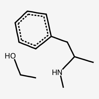 CCO.CNC(C)Cc1ccccc1